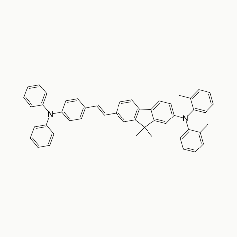 Cc1ccccc1N(c1ccc2c(c1)C(C)(C)c1cc(/C=C/c3ccc(N(c4ccccc4)c4ccccc4)cc3)ccc1-2)c1ccccc1C